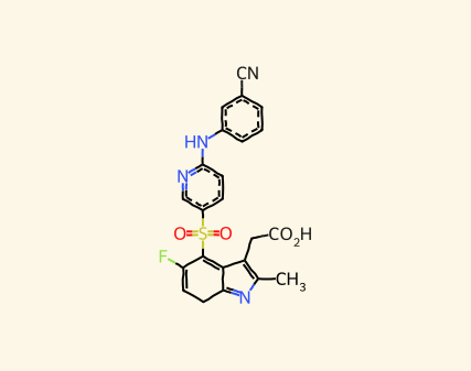 CC1=C(CC(=O)O)C2=C(S(=O)(=O)c3ccc(Nc4cccc(C#N)c4)nc3)C(F)=CCC2=N1